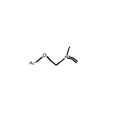 C=[N+](C)COC(C)=O